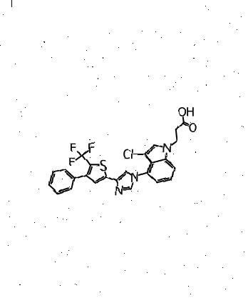 O=C(O)CCn1cc(Cl)c2c(-n3cnc(-c4cc(-c5ccccc5)c(C(F)(F)F)s4)c3)cccc21